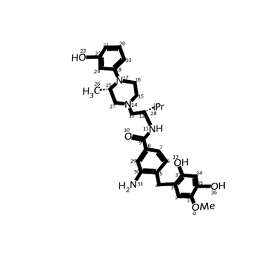 COc1cc(Cc2ccc(C(=O)N[C@H](CN3CCN(c4cccc(O)c4)[C@@H](C)C3)C(C)C)cc2N)c(O)cc1O